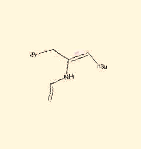 C=CN/C(=C\CCCC)CC(C)C